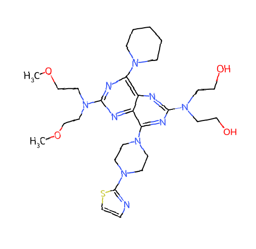 COCCN(CCOC)c1nc(N2CCCCC2)c2nc(N(CCO)CCO)nc(N3CCN(c4nccs4)CC3)c2n1